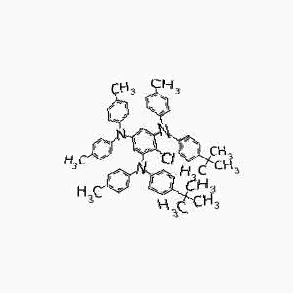 Cc1ccc(N(c2ccc(C)cc2)c2cc(N(c3ccc(C)cc3)c3ccc(C(C)(C)C)cc3)c(Cl)c(N(c3ccc(C)cc3)c3ccc(C(C)(C)C)cc3)c2)cc1